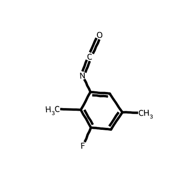 Cc1cc(F)c(C)c(N=C=O)c1